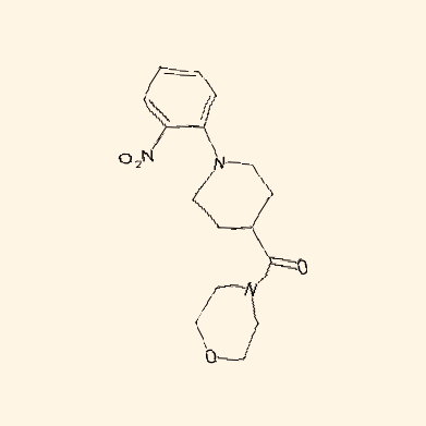 O=C(C1CCN(c2ccccc2[N+](=O)[O-])CC1)N1CCOCC1